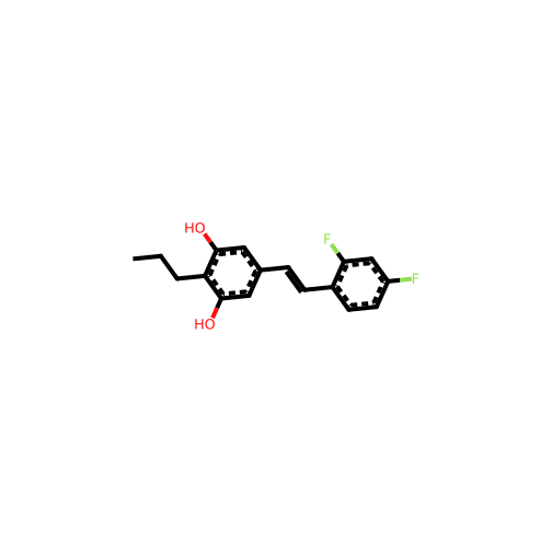 CCCc1c(O)cc(/C=C/c2ccc(F)cc2F)cc1O